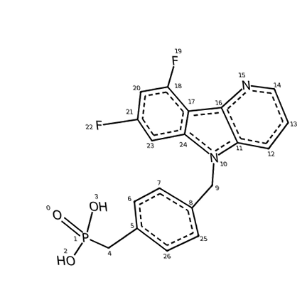 O=P(O)(O)Cc1ccc(Cn2c3cccnc3c3c(F)cc(F)cc32)cc1